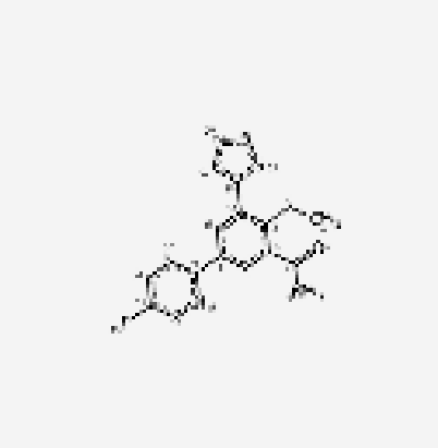 CCc1c(C(N)=O)cc(-c2ncc(F)cn2)cc1-c1cncs1